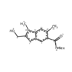 CCCCCCC(=O)c1cc2nc(CO)n(C)c2cc1C